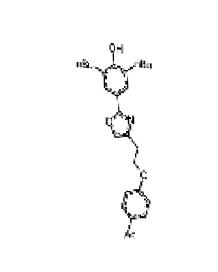 CCCCc1cc(-c2nc(CCOc3ccc(C(C)=O)cc3)co2)cc(CCCC)c1O